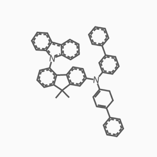 CC1(C)c2cc(N(C3=CC=C(c4ccccc4)CC3)c3cccc(-c4ccccc4)c3)ccc2-c2c(-n3c4ccccc4c4ccccc43)cccc21